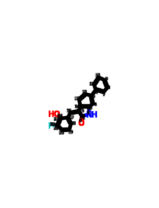 O=C1Nc2cc(-c3ccccc3)ccc2C1=Cc1cccc(F)c1O